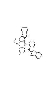 Cc1cc2c3c(c1)-n1c4c(c5cccc(c51)B3n1c3oc5ccccc5c3c3cccc-2c31)-c1ccccc1C4(C)C